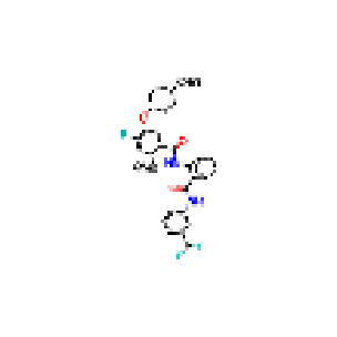 COc1cc(F)c(OC2CCC(C=O)CC2)cc1C(=O)NC1C2CCC(C2)C1C(=O)Nc1cccc(C(F)F)c1